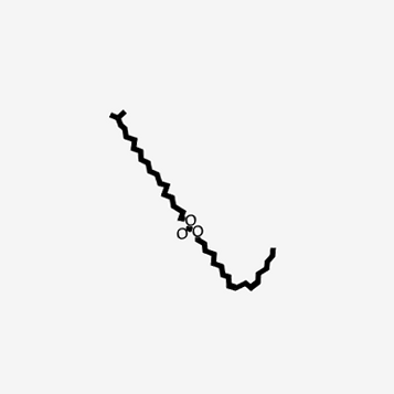 CCCCC/C=C\C/C=C\CCCCCCCCOC(=O)OCCCCCCCCCCCCCCCCCC(C)C